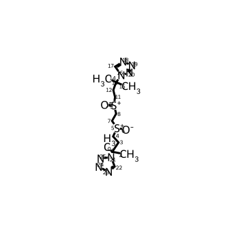 CC(C)(CC[S+]([O-])CC[S+]([O-])CCC(C)(C)n1cnnn1)n1cnnn1